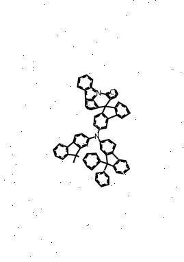 CC1(C)c2ccccc2-c2ccc(N(c3ccc4c(c3)-c3ccccc3C43c4ccccc4-n4c5ccccc5c5cccc3c54)c3ccc4c(c3)C(c3ccccc3)(c3ccccc3)c3ccccc3-4)cc21